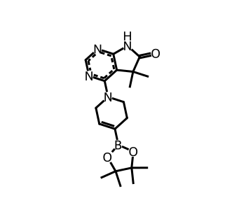 CC1(C)C(=O)Nc2ncnc(N3CC=C(B4OC(C)(C)C(C)(C)O4)CC3)c21